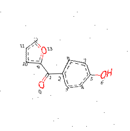 O=C(c1ccc(O)cc1)c1ccco1